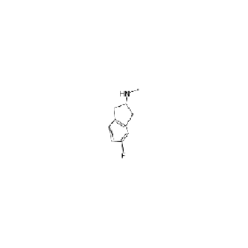 CNC1Cc2ccc(F)cc2C1